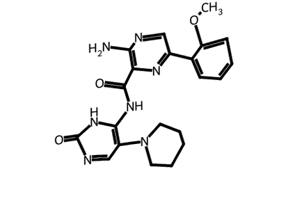 COc1ccccc1-c1cnc(N)c(C(=O)Nc2[nH]c(=O)ncc2N2CCCCC2)n1